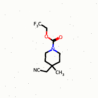 CC1(CC#N)CCN(C(=O)OCC(F)(F)F)CC1